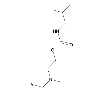 CSCN(C)CCOC(=O)NCC(C)C